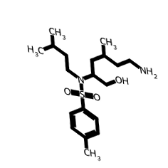 Cc1ccc(S(=O)(=O)N(CCC(C)C)C(CO)CC(C)CCN)cc1